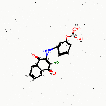 O=C1C(Cl)=C(Nc2cccc(OB(O)O)c2)C(=O)c2ccccc21